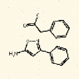 Nc1cc(-c2ccccc2)no1.O=C(Cl)Cc1ccccc1